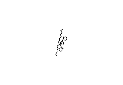 C(OCC1CO1)C1CO1.CCCCCCCCCCCCCCC